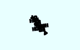 C=C(C)C(=O)Nc1ncnc2c1cnn2[C@@H]1O[C@H](C(O)C#CC2CC2)[C@@H](O)[C@H]1O